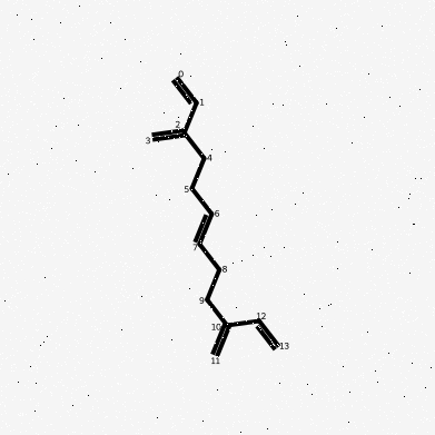 C=CC(=C)CCC=CCCC(=C)C=C